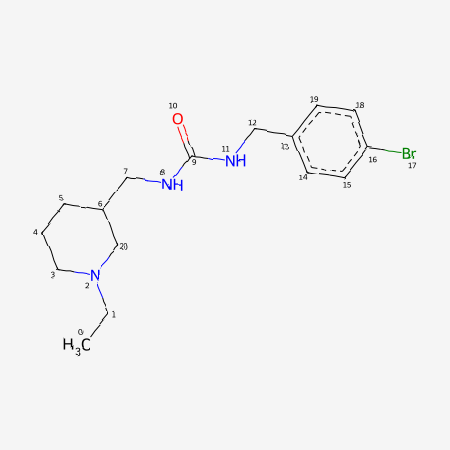 CCN1CCCC(CNC(=O)NCc2ccc(Br)cc2)C1